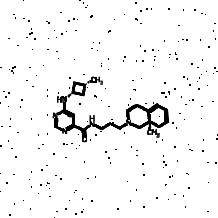 C[C@]12CC=CC=C1CCN(CCCNC(=O)c1cc(N[C@H]3C[C@@H](C)C3)ncn1)C2